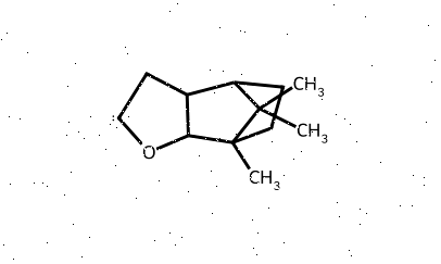 CC1(C)C2CCC1(C)C1O[C]CC21